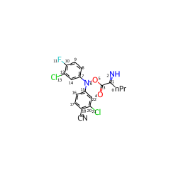 CCCC(=N)C(=O)ON(c1ccc(F)c(Cl)c1)c1ccc(C#N)c(Cl)c1